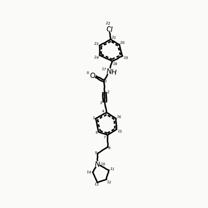 O=C(C#Cc1ccc(CCN2CCCC2)cc1)Nc1ccc(Cl)cc1